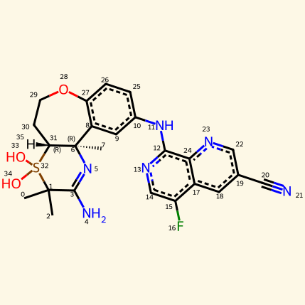 CC1(C)C(N)=N[C@]2(C)c3cc(Nc4ncc(F)c5cc(C#N)cnc45)ccc3OCC[C@H]2S1(O)O